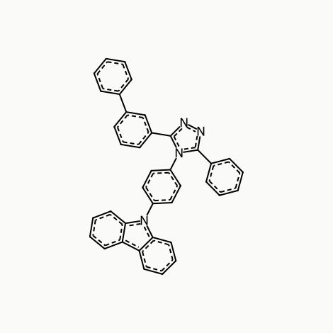 c1ccc(-c2cccc(-c3nnc(-c4ccccc4)n3-c3ccc(-n4c5ccccc5c5ccccc54)cc3)c2)cc1